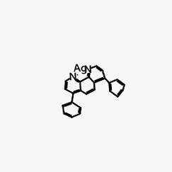 [Ag].c1ccc(-c2ccnc3c2ccc2c(-c4ccccc4)ccnc23)cc1